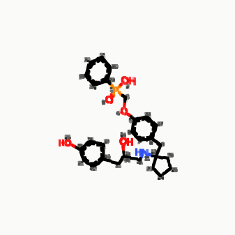 O=P(O)(COc1ccc(CC2(NC[C@H](O)Cc3ccc(O)cc3)CCCC2)cc1)c1ccccc1